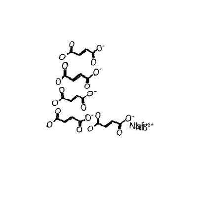 O=C([O-])C=CC(=O)[O-].O=C([O-])C=CC(=O)[O-].O=C([O-])C=CC(=O)[O-].O=C([O-])C=CC(=O)[O-].O=C([O-])C=CC(=O)[O-].[Nb+5].[Nb+5]